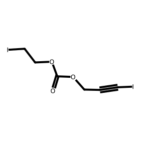 O=C(OCC#CI)OCCI